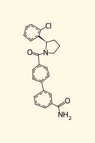 NC(=O)c1cccc(-c2ccc(C(=O)N3CCC[C@@H]3c3ccccc3Cl)cc2)c1